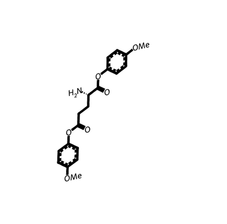 COc1ccc(OC(=O)CC[C@H](N)C(=O)Oc2ccc(OC)cc2)cc1